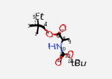 CCC(C)(C)COC(=O)C(C)NC(=O)OC(C)(C)C